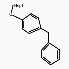 CCCCCCCOc1ccc(Cc2ccccc2)cc1